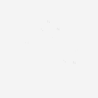 C[C@@H](O)C1CCN(c2nccnc2Oc2ccc(C(=O)c3nc4ccccc4[nH]3)cc2)CC1